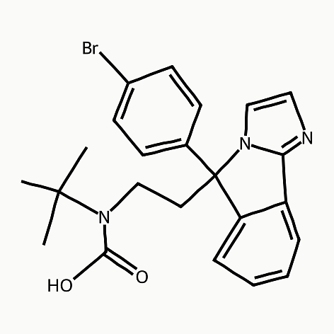 CC(C)(C)N(CCC1(c2ccc(Br)cc2)c2ccccc2-c2nccn21)C(=O)O